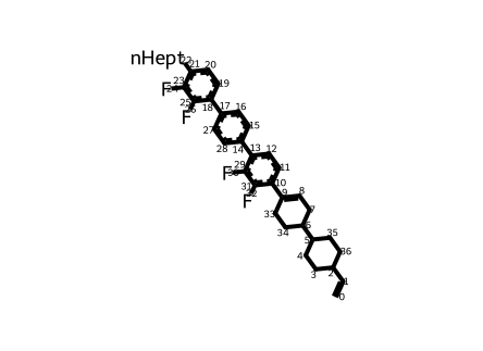 C=CC1CCC(C2CC=C(c3ccc(-c4ccc(-c5ccc(CCCCCCC)c(F)c5F)cc4)c(F)c3F)CC2)CC1